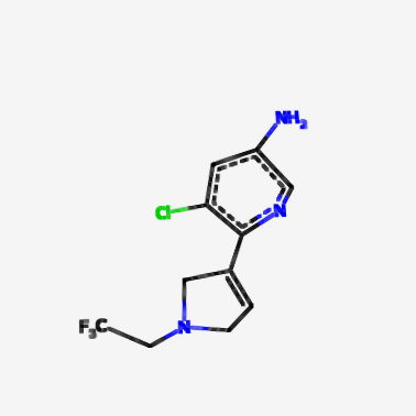 Nc1cnc(C2=CCN(CC(F)(F)F)C2)c(Cl)c1